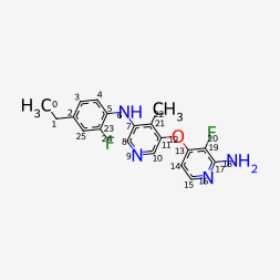 CCc1ccc(Nc2cncc(Oc3ccnc(N)c3F)c2C)c(F)c1